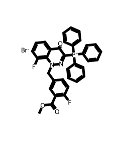 COC(=O)c1cc(Cn2nc([P+](c3ccccc3)(c3ccccc3)c3ccccc3)c(=O)c3cccc(F)c32)ccc1F.[Br-]